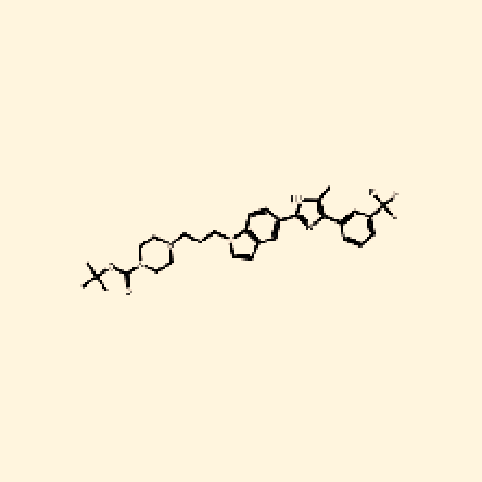 Cc1[nH]c(-c2ccc3c(ccn3CCCN3CCN(C(=O)OC(C)(C)C)CC3)c2)nc1-c1cccc(C(F)(F)F)c1